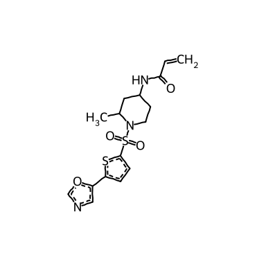 C=CC(=O)NC1CCN(S(=O)(=O)c2ccc(-c3cnco3)s2)C(C)C1